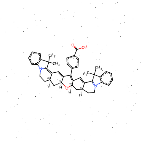 CC1(C)C2=C3C=C4C(c5ccc(C(=O)O)cc5)=C5C=C6C7=[N+](CC[C@H]6C[C@H]5O[C@H]4C[C@H]3CCN2c2ccccc21)c1ccccc1C7(C)C